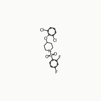 O=S(=O)(c1ccc(F)cc1F)N1CCC(Oc2c(Cl)cccc2Cl)CC1